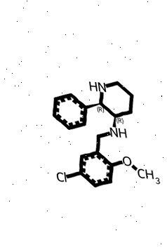 COc1ccc(Cl)cc1CN[C@@H]1CCCN[C@@H]1c1ccccc1